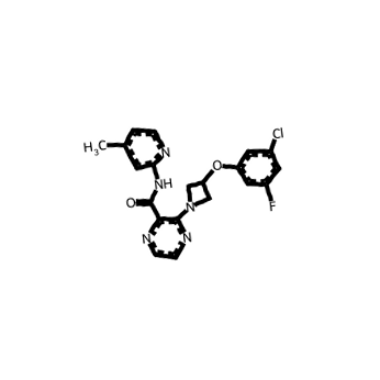 Cc1ccnc(NC(=O)c2nccnc2N2CC(Oc3cc(F)cc(Cl)c3)C2)c1